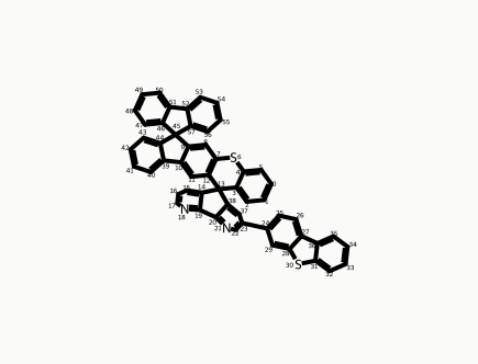 c1ccc2c(c1)Sc1cc3c(cc1C21c2cccnc2-c2ncc(-c4ccc5c(c4)sc4ccccc45)cc21)-c1ccccc1C31c2ccccc2-c2ccccc21